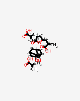 C=C(C)C(=O)O.C=C(C)C(=O)O.C=C(CC1CCC(=O)O1)C(=O)O.OC12CC3CC(CC(C3)C1)C2